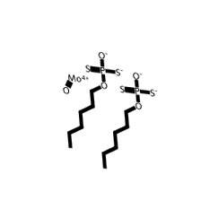 CCCCCCOP([O-])(=S)[S-].CCCCCCOP([O-])(=S)[S-].[O]=[Mo+4]